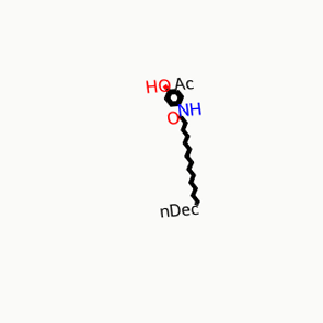 CCCCCCCCCCCCCCCCCCCCCCCC(=O)Nc1ccc(O)c(C(C)=O)c1